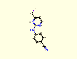 N#Cc1ccc(Nc2nccc(CI)n2)cc1